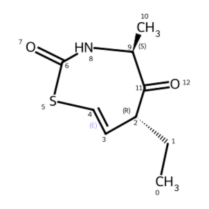 CC[C@@H]1/C=C/SC(=O)N[C@@H](C)C1=O